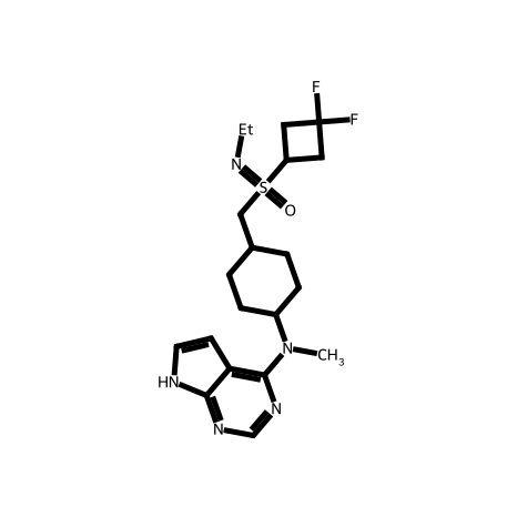 CCN=S(=O)(CC1CCC(N(C)c2ncnc3[nH]ccc23)CC1)C1CC(F)(F)C1